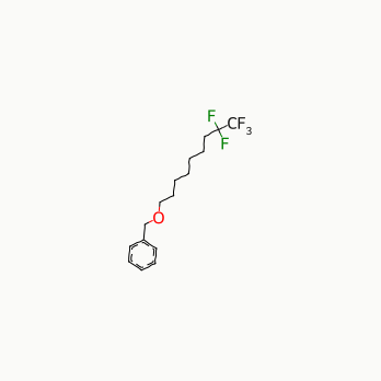 FC(F)(F)C(F)(F)CCCCCCCOCc1ccccc1